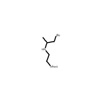 CCCCCCCNC(C)CC(C)CC